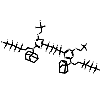 FC(F)(F)COc1nc(N(CCC(F)(F)C(F)(F)C(F)(F)C(F)(F)F)C23CC4CC(CC(C4)C2)C3)nc(C(F)(F)C(F)(F)C(F)(F)C(F)(F)c2nc(OCC(F)(F)F)nc(N(CCC(F)(F)C(F)(F)C(F)(F)C(F)(F)F)C34CC5CC(CC(C5)C3)C4)n2)n1